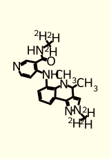 [2H]C([2H])([2H])NC(=O)c1cnccc1Nc1cccc2c1N(C)C(C)c1cn(C([2H])([2H])[2H])nc1-2